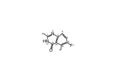 Cc1nc2ccc(F)c(C)c2c(=O)[nH]1